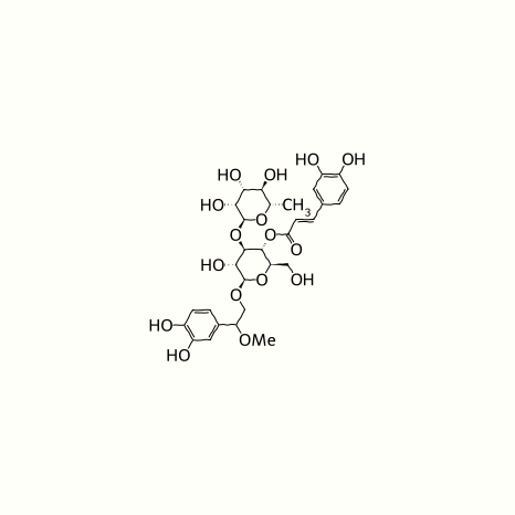 COC(CO[C@@H]1O[C@H](CO)[C@@H](OC(=O)/C=C/c2ccc(O)c(O)c2)[C@H](O[C@@H]2O[C@@H](C)[C@H](O)[C@@H](O)[C@H]2O)[C@H]1O)c1ccc(O)c(O)c1